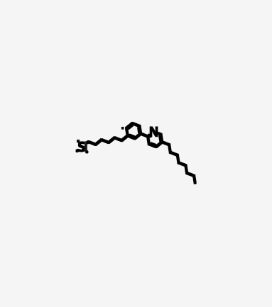 CCCCCCCCc1ccc(-c2cc[c]c(CCCCCC[Si](C)(C)C)c2)nc1